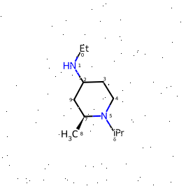 CCNC1CCN(C(C)C)[C@@H](C)C1